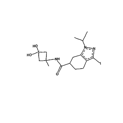 CC(C)n1nc(I)c2c1CC(C(=O)NC1(C)CS(O)(O)C1)CC2